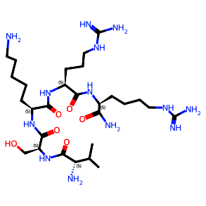 CC(C)[C@H](N)C(=O)N[C@@H](CO)C(=O)N[C@@H](CCCCCN)C(=O)N[C@@H](CCCNC(=N)N)C(=O)N[C@@H](CCCCNC(=N)N)C(N)=O